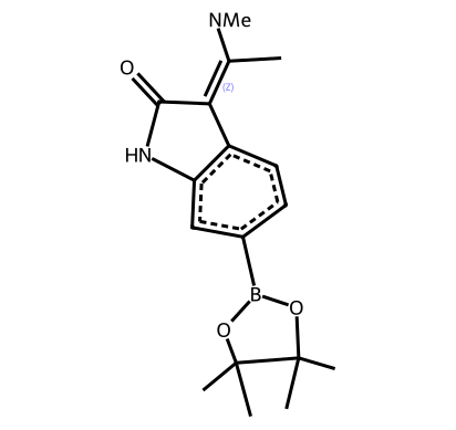 CN/C(C)=C1\C(=O)Nc2cc(B3OC(C)(C)C(C)(C)O3)ccc21